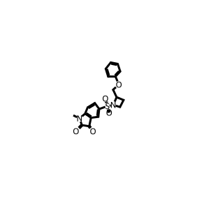 CN1C(=O)C(=O)c2cc(S(=O)(=O)N3CCC3COc3ccccc3)ccc21